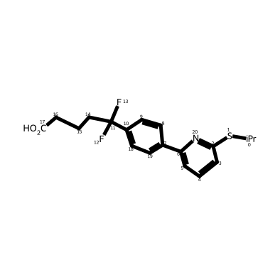 CC(C)Sc1cccc(-c2ccc(C(F)(F)CCCC(=O)O)cc2)n1